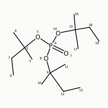 CCC(C)(C)OP(=O)(OC(C)(C)CC)OC(C)(C)CC